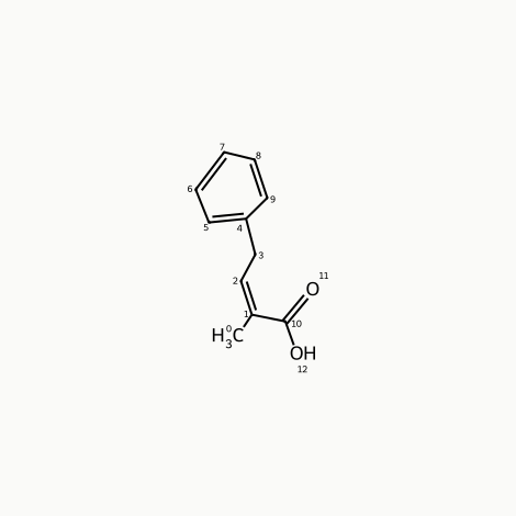 CC(=CCc1ccccc1)C(=O)O